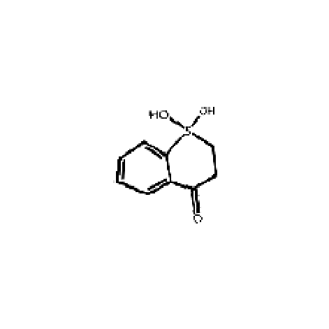 O=C1CCS(O)(O)c2cc[c]cc21